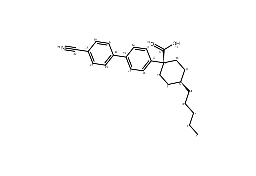 CCCCC[C@H]1CC[C@](C(=O)O)(c2ccc(-c3ccc(C#N)cc3)cc2)CC1